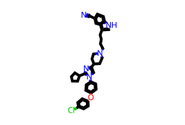 N#Cc1ccc2[nH]cc(CCCCN3CCC(c4cn(-c5ccc(Oc6ccc(Cl)cc6)cc5)c(C5CCCC5)n4)CC3)c2c1